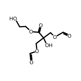 O=COCC(O)(COC=O)C(=O)OCCO